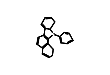 C1=CCC2C(=C1)c1ccc3c(c1N2c1ccccc1)CCC=C3